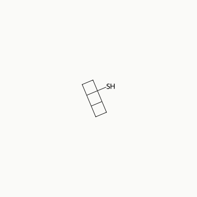 SC12CCC1C1CCC12